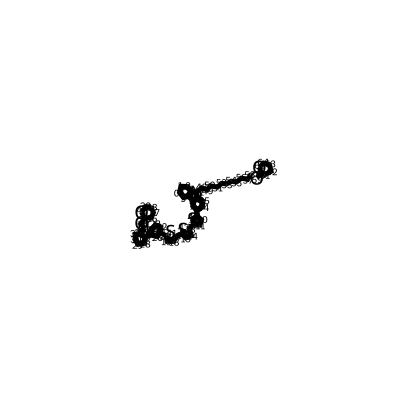 c1ccc2c(c1)c1cc(-c3ccc(-c4ccc(-c5ccc(-c6ccc7c(c6)c6ccccc6n7OC6CCCCO6)s5)s4)s3)ccc1n2CCCCCCCCCCCOC1CCCCO1